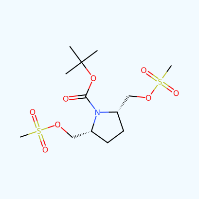 CC(C)(C)OC(=O)N1[C@@H](COS(C)(=O)=O)CC[C@H]1COS(C)(=O)=O